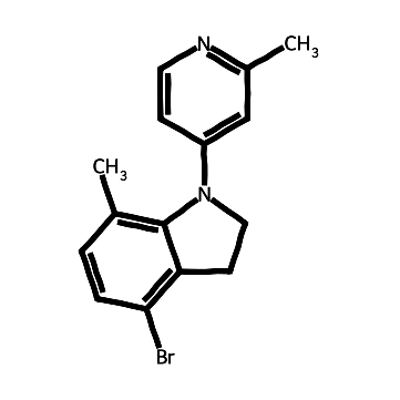 Cc1cc(N2CCc3c(Br)ccc(C)c32)ccn1